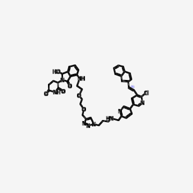 O=C1CCC(N2C(=O)c3c(NCCOCCOCc4cn(CCCNCc5ccc(-c6cnc(Cl)c(/C=C/c7ccc8ccccc8c7)c6)cn5)nn4)cccc3C2O)C(=O)N1